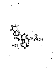 Cl.O=C(O)CNCC1CCc2cc(OC3CCCCC3)ccc2C1c1ccccc1